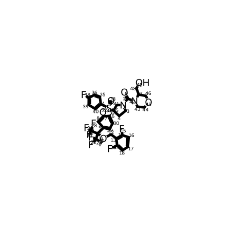 O=C(N1CC[C@@](c2ccc(C(OCc3c(F)cccc3F)(C(F)(F)F)C(F)(F)F)cc2)(S(=O)(=O)c2ccc(F)cc2)C1)N1CCOCC1CO